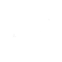 O=P([O-])([O-])[O-].O=P([O-])([O-])[O-].[W+6].[Zr]